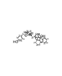 Oc1ccc(CO[C@H]2C[N+]3(Cc4cnc([C@](O)(c5ccccc5)C5CCCCC5)o4)CCC2CC3)cc1